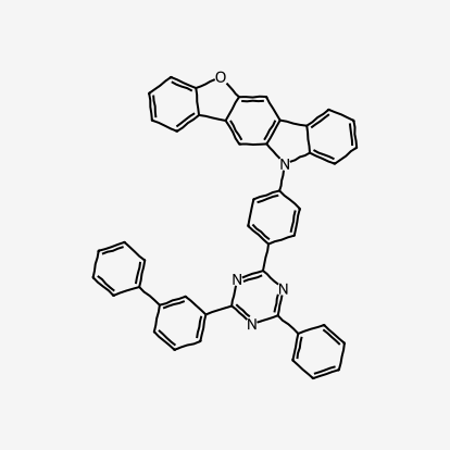 c1ccc(-c2cccc(-c3nc(-c4ccccc4)nc(-c4ccc(-n5c6ccccc6c6cc7oc8ccccc8c7cc65)cc4)n3)c2)cc1